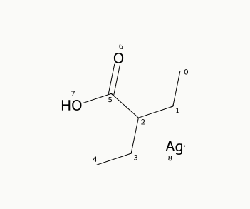 CCC(CC)C(=O)O.[Ag]